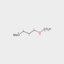 COCCCOC(=O)O